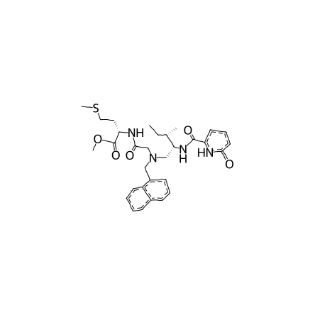 CC[C@H](C)[C@@H](CN(CC(=O)N[C@@H](CCSC)C(=O)OC)Cc1cccc2ccccc12)NC(=O)c1cccc(=O)[nH]1